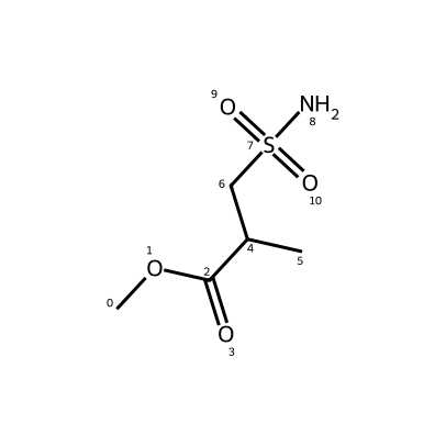 COC(=O)C(C)CS(N)(=O)=O